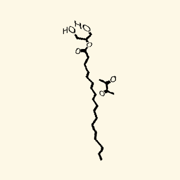 CC(=O)C(C)=O.CCCCCCCCCCCCCCCCCC(=O)OC(CO)CO